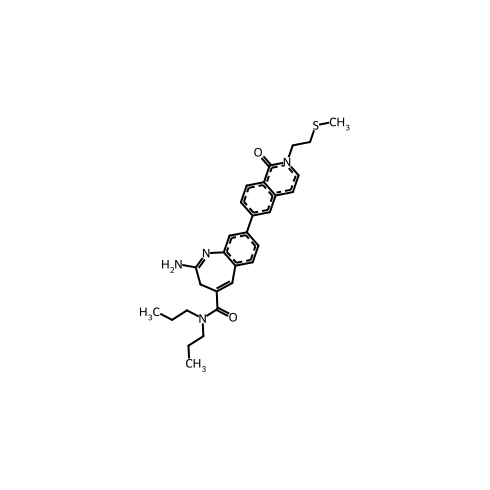 CCCN(CCC)C(=O)C1=Cc2ccc(-c3ccc4c(=O)n(CCSC)ccc4c3)cc2N=C(N)C1